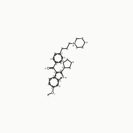 COc1ccc2c(C(=O)c3ccc(CCCN4CCCCC4)cc3)c(C3CCCC3)sc2c1